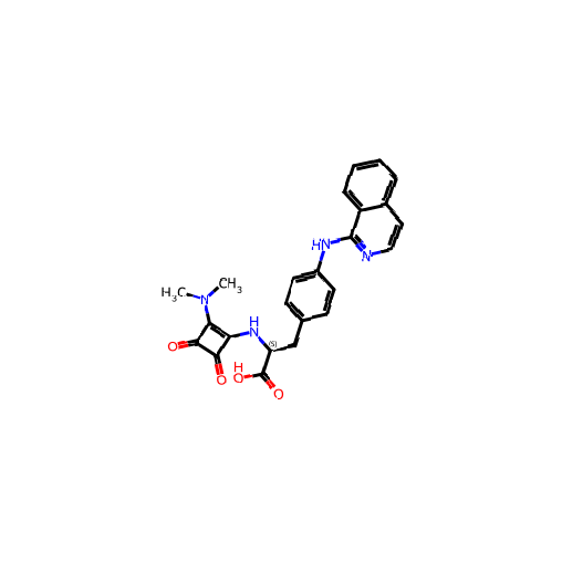 CN(C)c1c(N[C@@H](Cc2ccc(Nc3nccc4ccccc34)cc2)C(=O)O)c(=O)c1=O